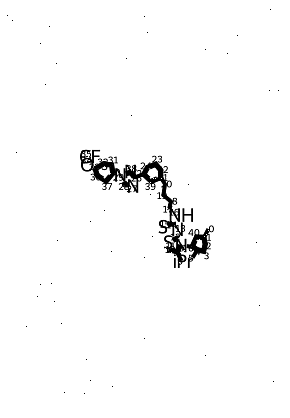 Cc1ccc(C(C)C)c(-n2c(C)cs/c2=N\C(=S)NCCCCc2cccc(-c3ncn(-c4ccc(OC(F)(F)F)cc4)n3)c2)c1